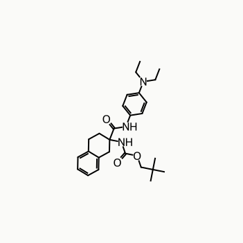 CCN(CC)c1ccc(NC(=O)C2(NC(=O)OCC(C)(C)C)CCc3ccccc3C2)cc1